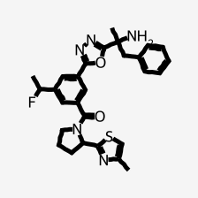 Cc1csc(C2CCCN2C(=O)c2cc(-c3nnc(C(C)(N)Cc4ccccc4)o3)cc(C(C)F)c2)n1